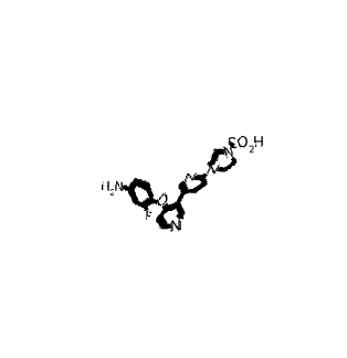 Nc1ccc(Oc2ccncc2-c2ccc(N3CCN(C(=O)O)CC3)nc2)c(F)c1